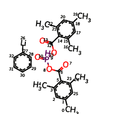 Cc1cc(C)c(C(=O)O[PH](=O)OC(=O)c2c(C)cc(C)cc2C)c(C)c1.[Li][c]1ccccc1